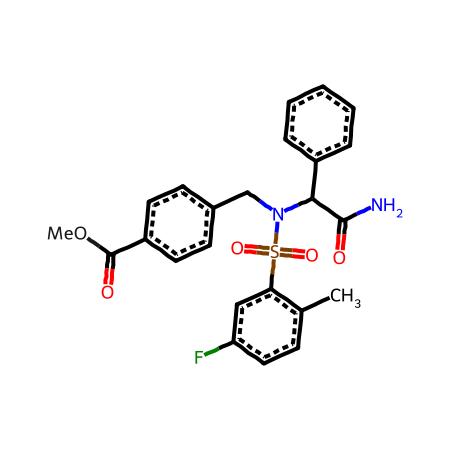 COC(=O)c1ccc(CN(C(C(N)=O)c2ccccc2)S(=O)(=O)c2cc(F)ccc2C)cc1